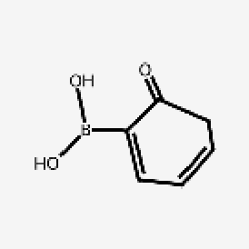 O=C1CC=CC=C1B(O)O